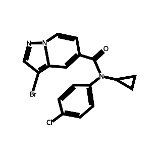 O=C(c1ccn2ncc(Br)c2c1)N(c1ccc(Cl)cc1)C1CC1